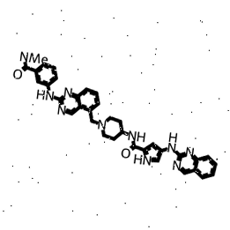 CNC(=O)c1cccc(Nc2ncc3c(CN4CCC(NC(=O)c5cc(Nc6ncc7ccccc7n6)c[nH]5)CC4)cccc3n2)c1